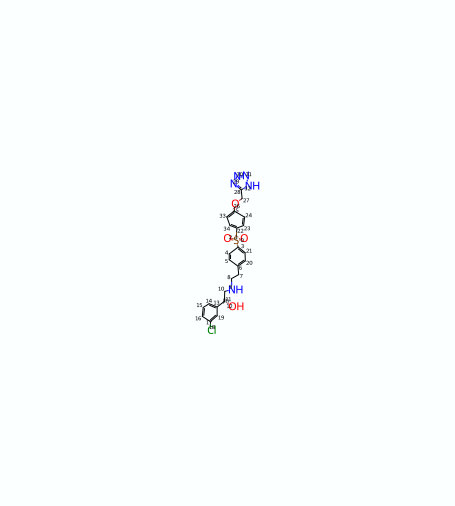 O=S(=O)(c1ccc(CCNC[C@H](O)c2cccc(Cl)c2)cc1)c1ccc(OCc2nnn[nH]2)cc1